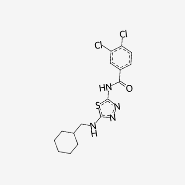 O=C(Nc1nnc(NCC2CCCCC2)s1)c1ccc(Cl)c(Cl)c1